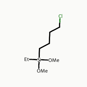 CC[Si](CCCCCl)(OC)OC